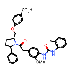 COc1cc(CC(=O)N2C(c3ccccc3)CC[C@H]2COc2ccc(C(=O)O)cc2)ccc1NC(=O)Nc1ccccc1C